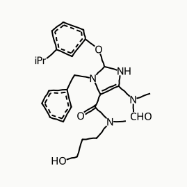 CC(C)c1cccc(OC2NC(N(C)C=O)=C(C(=O)N(C)CCCO)N2Cc2ccccc2)c1